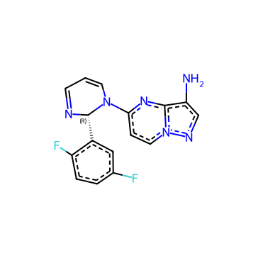 Nc1cnn2ccc(N3C=CC=N[C@H]3c3cc(F)ccc3F)nc12